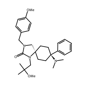 COc1ccc(CN2C[C@]3(CC[C@](c4ccccc4)(N(C)C)CC3)N(CC(C)(C)OC)C2=O)cc1